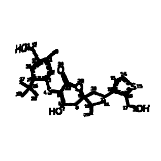 Cc1cc(SC2=C(O)CC(CCc3ccsc3CO)(C(C)C)OC2=O)c(C(C)(C)C)cc1CO